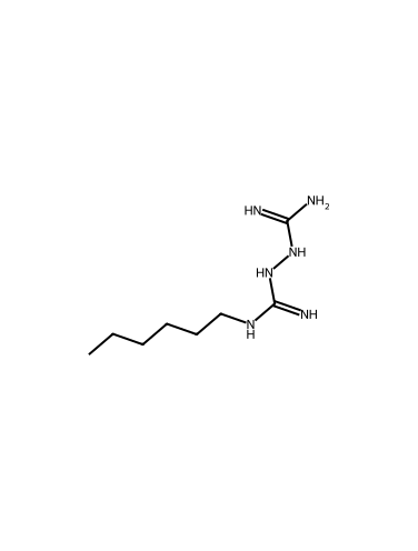 CCCCCCNC(=N)NNC(=N)N